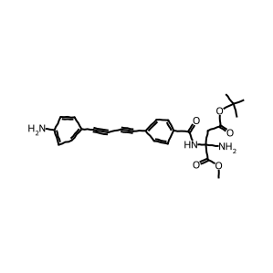 COC(=O)C(N)(CC(=O)OC(C)(C)C)NC(=O)c1ccc(C#CC#Cc2ccc(N)cc2)cc1